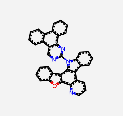 c1ccc2c(c1)oc1c3ncccc3c3c4ccccc4n(-c4ncc5c6ccccc6c6ccccc6c5n4)c3c21